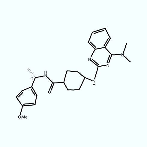 COc1ccc([C@H](C)NC(=O)C2CCC(Nc3nc(N(C)C)c4ccccc4n3)CC2)cc1